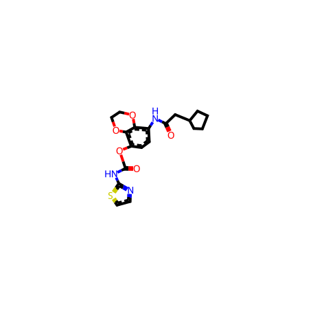 O=C(CC1CCCC1)Nc1ccc(OC(=O)Nc2nccs2)c2c1OCCO2